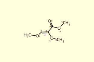 CO/C=C(\OC)C(=O)OC